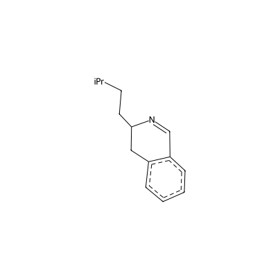 CC(C)CCC1Cc2ccccc2C=N1